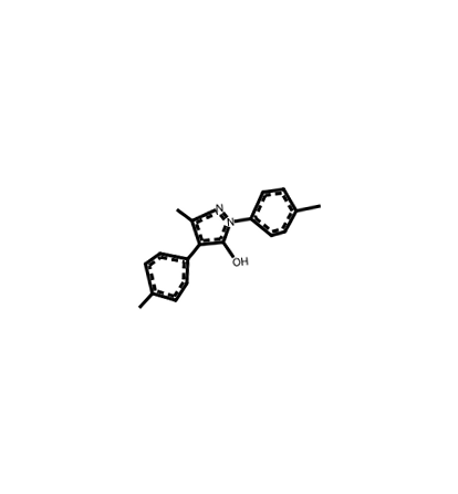 Cc1ccc(-c2c(C)nn(-c3ccc(C)cc3)c2O)cc1